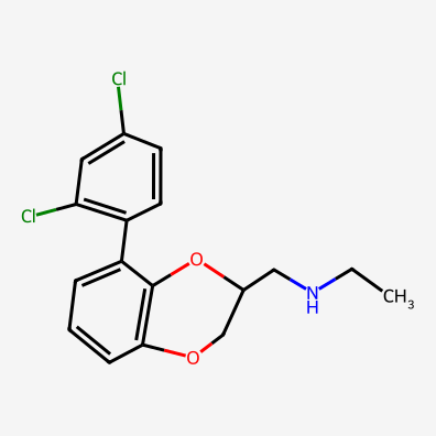 CCNCC1COc2cccc(-c3ccc(Cl)cc3Cl)c2O1